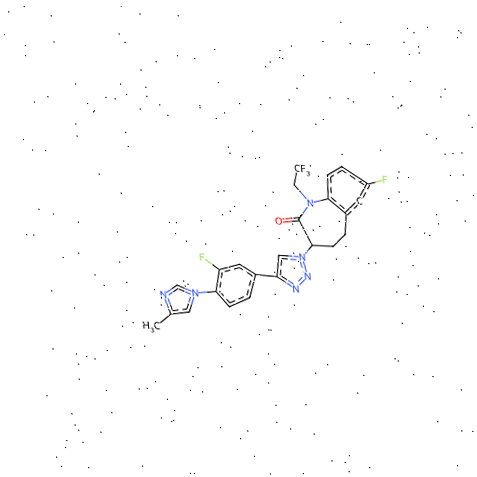 Cc1cn(-c2ccc(-c3cn(C4CCc5cc(F)ccc5N(CC(F)(F)F)C4=O)nn3)cc2F)cn1